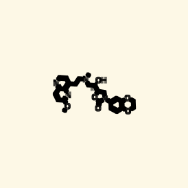 COc1ccc2nccc(CCN(C)C[C@@H](O)C3CN(c4ccc5c(c4)OCCO5)C(=O)O3)c2n1